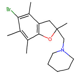 Cc1c(C)c2c(c(C)c1Br)CC(C)(CN1CCCCC1)O2